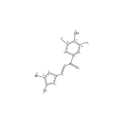 CCc1sc(C=CC(=O)c2cc(C)c(O)c(C)c2)cc1Br